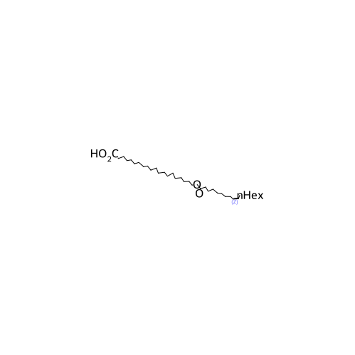 CCCCCC/C=C\CCCCCCCC(=O)OCCCCCCCCCCCCCCCCCCCC(=O)O